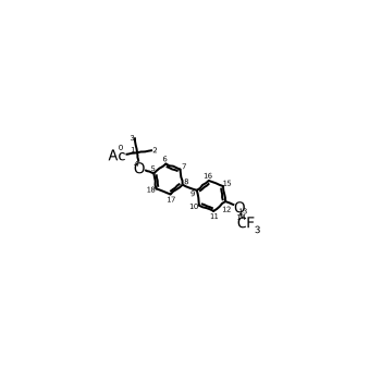 CC(=O)C(C)(C)Oc1ccc(-c2ccc(OC(F)(F)F)cc2)cc1